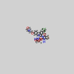 CS(=O)(=O)NC(=O)c1c(-n2c(=O)[nH]c3cscc3c2=O)c2cc(C(F)(F)F)ccc2n1Cc1cccc(OCCN2CCOCC2)c1